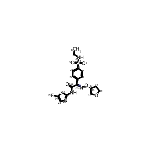 CCNS(=O)(=O)c1ccc(/C(=N\O[C@@H]2CCOC2)C(=O)Nc2ncc(F)s2)cc1